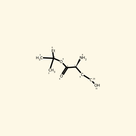 CCC(C)(C)OC(=O)[C@@H](N)CCO